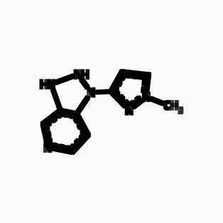 Cn1ccc(N2NNc3cnccc32)n1